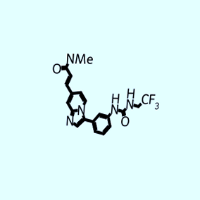 CNC(=O)C=Cc1ccn2c(-c3cccc(NC(=O)NCC(F)(F)F)c3)cnc2c1